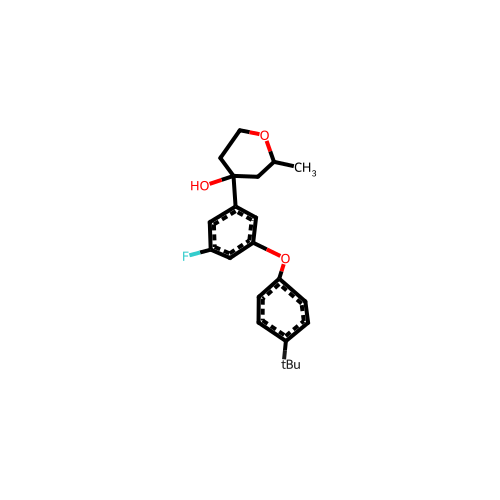 CC1CC(O)(c2cc(F)cc(Oc3ccc(C(C)(C)C)cc3)c2)CCO1